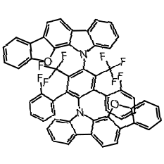 Fc1ccccc1-c1c(-n2c3ccccc3c3ccc4c5ccccc5oc4c32)c(-c2ccccc2F)c(C(F)(F)F)c(-n2c3ccccc3c3ccc4c5ccccc5oc4c32)c1C(F)(F)F